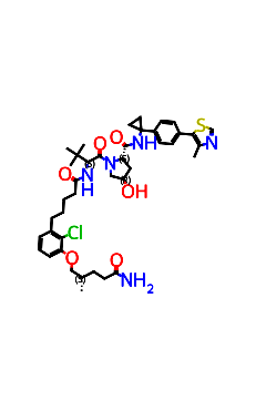 Cc1ncsc1-c1ccc(C2(NC(=O)[C@@H]3C[C@@H](O)CN3C(=O)[C@@H](NC(=O)CCCCc3cccc(OC[C@@H](C)CCC(N)=O)c3Cl)C(C)(C)C)CC2)cc1